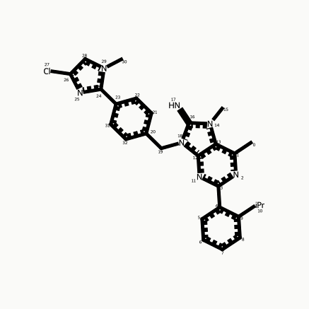 Cc1nc(-c2ccccc2C(C)C)nc2c1n(C)c(=N)n2Cc1ccc(-c2nc(Cl)cn2C)cc1